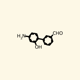 Nc1ccc(-c2cccc(C=O)c2)c(O)c1